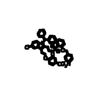 O=C(O)c1ccc(OCCc2c(CCNS(=O)(=O)c3ccccc3OCc3ccccc3)n(C(c3ccccc3)c3ccccc3)c3ccc(Cl)cc23)cc1